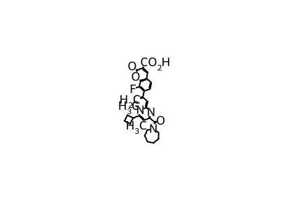 C=C(/C=C1/N=C(C(=O)N2CCCCCC2C)C=C(C2CCC2)N1C)c1ccc2cc(C(=O)O)c(=O)oc2c1F